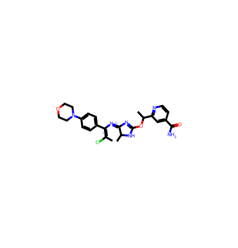 C/C(Cl)=C(\N=C1\N=C(OC(C)c2cc(C(N)=O)ccn2)NC1C)c1ccc(N2CCOCC2)cc1